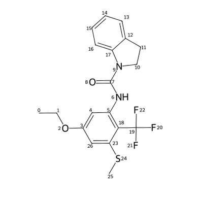 CCOc1cc(NC(=O)N2CCc3ccccc32)c(C(F)(F)F)c(SC)c1